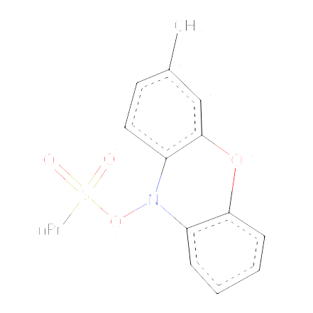 CCCS(=O)(=O)ON1c2ccccc2Oc2cc(C)ccc21